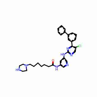 O=C(CCCCCCN1CCNCC1)Nc1cncc(Nc2ncc(Cl)c(-c3cccc(-c4ccccc4)c3)n2)c1